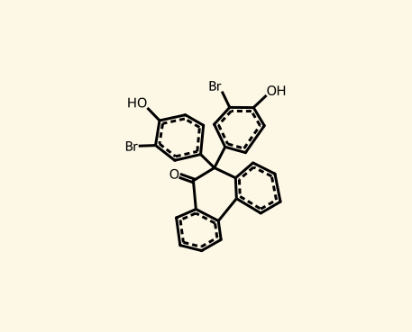 O=C1c2ccccc2-c2ccccc2C1(c1ccc(O)c(Br)c1)c1ccc(O)c(Br)c1